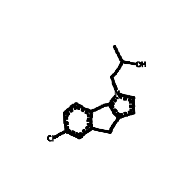 CC(O)Cn1ccc2c1-c1ccc(Cl)cc1C2